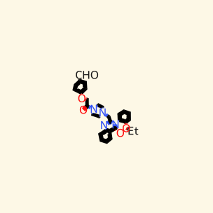 CCOc1ccccc1-n1c(CN2CCN(C(=O)COc3ccc(C=O)cc3)CC2)nc2ccccc2c1=O